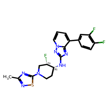 Cc1nsc(N2CC[C@@H](Nc3nc4c(-c5ccc(F)c(F)c5)cccn4n3)[C@@H](F)C2)n1